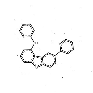 c1ccc(Nc2cccc3oc4ccc(-c5ccccc5)cc4c23)cc1